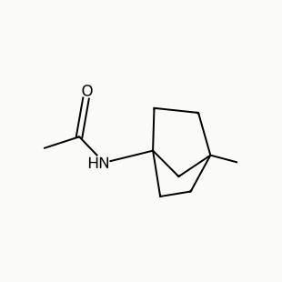 CC(=O)NC12CCC(C)(CC1)C2